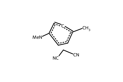 CNc1ccc(C)cc1.N#CCC#N